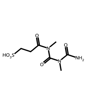 CN(C(N)=O)C(=O)N(C)C(=O)CCS(=O)(=O)O